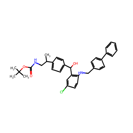 CC(CNC(=O)OC(C)(C)C)c1ccc(C(O)c2cc(Cl)ccc2NCc2ccc(-c3ccccc3)cc2)cc1